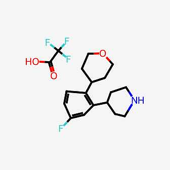 Fc1ccc(C2CCOCC2)c(C2CCNCC2)c1.O=C(O)C(F)(F)F